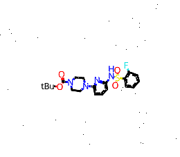 CC(C)(C)OC(=O)N1CCN(c2cccc(NS(=O)(=O)c3ccccc3F)n2)CC1